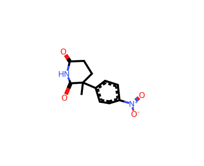 CC1(c2ccc([N+](=O)[O-])cc2)CCC(=O)NC1=O